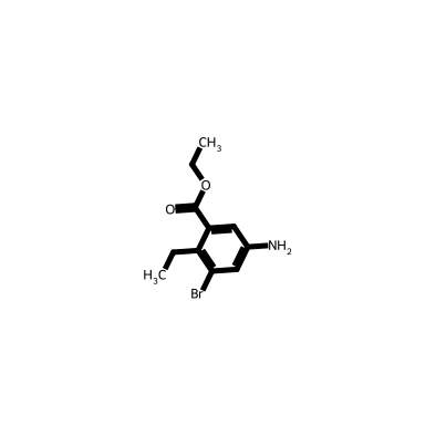 CCOC(=O)c1cc(N)cc(Br)c1CC